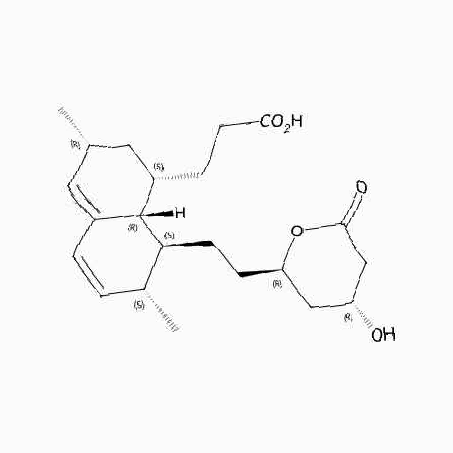 C[C@@H]1C=CC2=C[C@H](C)C[C@H](CCC(=O)O)[C@@H]2[C@H]1CC[C@@H]1C[C@@H](O)CC(=O)O1